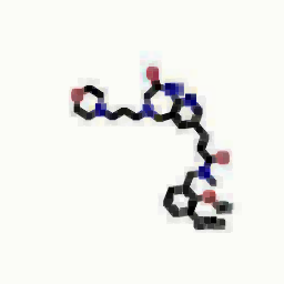 COc1cccc(CN(C)C(=O)C=Cc2cnc3c(c2)CN(CCCN2CCOCC2)CC(=O)N3)c1OC(C)C